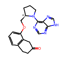 O=C1CCc2cccc(OC[C@H]3CCCN3c3ncnc4[nH]cnc34)c2C1